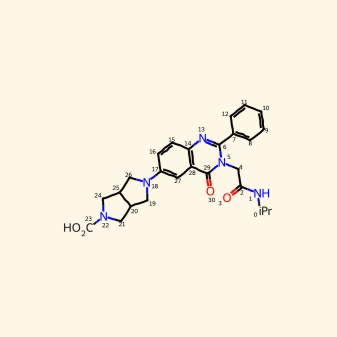 CC(C)NC(=O)Cn1c(-c2ccccc2)nc2ccc(N3CC4CN(C(=O)O)CC4C3)cc2c1=O